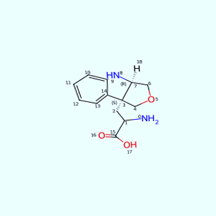 NC(C[C@@]12COC[C@@H]1Nc1ccccc12)C(=O)O